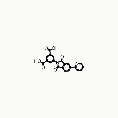 O=C(O)c1cc(C(=O)O)cc(N2C(=O)c3ccc(-c4ccccn4)cc3C2=O)c1